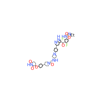 CCN(C)S(=O)(=O)Nc1ccc(F)c(C(=O)c2c[nH]c3ncc(-c4ccc(N5CCC(NCC(=O)N6CCC(c7ccc(OC8CCC(=O)NC8=O)cc7)CC6)CC5)cc4)cc23)c1F